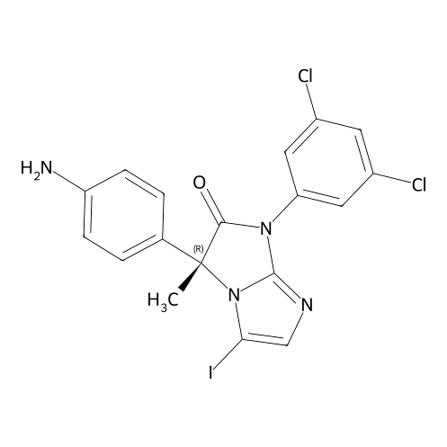 C[C@@]1(c2ccc(N)cc2)C(=O)N(c2cc(Cl)cc(Cl)c2)c2ncc(I)n21